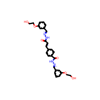 O=C(/C=C/c1ccc(C(=O)N/N=C/c2cccc(OCCO)c2)cc1)N/N=C/c1cccc(OCCO)c1